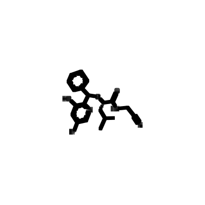 CC(C)C[C@H](OC(c1ccccc1)c1ncc(Br)cc1O)C(=O)NCC#N